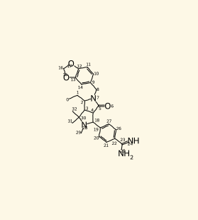 CCC1C2C(C(=O)N1Cc1ccc3c(c1)OCO3)C(c1ccc(C(=N)N)cc1)N(C)C2(C)C